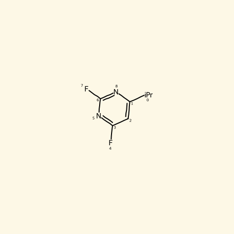 CC(C)c1cc(F)nc(F)n1